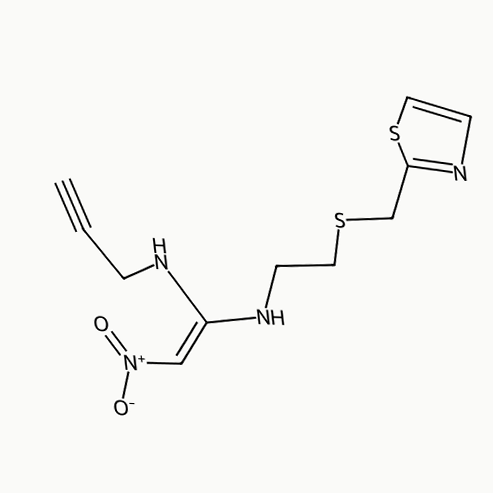 C#CCNC(=C[N+](=O)[O-])NCCSCc1nccs1